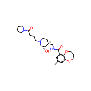 Cc1cc2c(c(C(=O)NC[C@@H]3CCN(CCCC(=O)N4CCCC4)C[C@H]3O)c1)OCCCO2